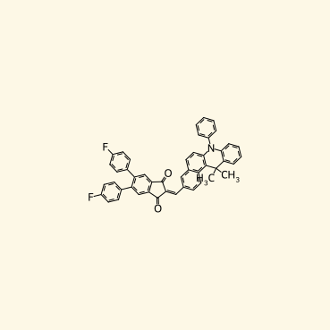 CC1(C)c2ccccc2N(c2ccccc2)c2ccc3cc(C=C4C(=O)c5cc(-c6ccc(F)cc6)c(-c6ccc(F)cc6)cc5C4=O)ccc3c21